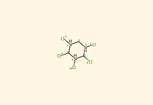 ClC1[SiH](Cl)C[SiH](Cl)C(Cl)[SiH]1Cl